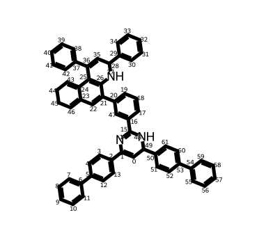 C1=C(c2ccc(-c3ccccc3)cc2)N=C(c2cccc(-c3cc4c(c5c3NC(c3ccccc3)C=C5c3ccccc3)=CCCC=4)c2)NC1c1ccc(-c2ccccc2)cc1